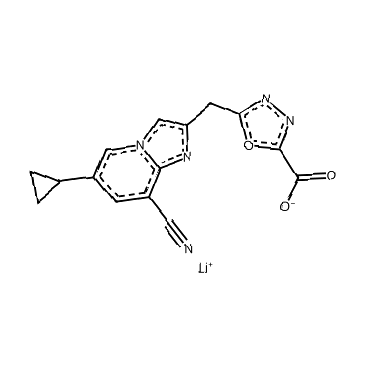 N#Cc1cc(C2CC2)cn2cc(Cc3nnc(C(=O)[O-])o3)nc12.[Li+]